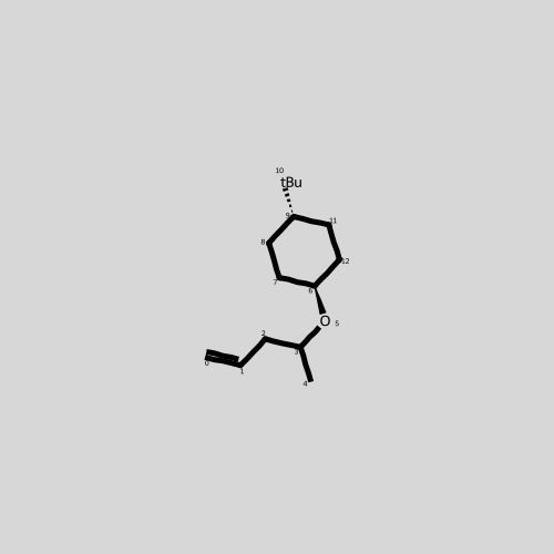 C=CCC(C)O[C@H]1CC[C@H](C(C)(C)C)CC1